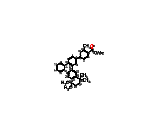 COC(=O)c1ccc(-c2ccc(-c3ccccc3)c(-c3ccc4c(c3)C(C)(C)CCC4(C)C)c2)cc1C